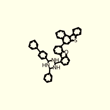 c1ccc(-c2ccc(C3NC(c4ccccc4)NC(c4cccc5oc6c(-c7cc8sc9ccccc9c8c8ccccc78)cccc6c45)N3)cc2)cc1